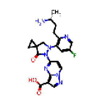 C[C@@H](N)CCc1ncc(F)cc1N1CC2(CC2)C(=O)N1c1ccn2ncc(C(=O)O)c2n1